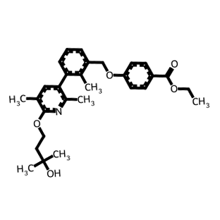 CCOC(=O)c1ccc(OCc2cccc(-c3cc(C)c(OCCC(C)(C)O)nc3C)c2C)cc1